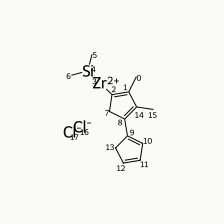 CC1=[C]([Zr+2]=[Si](C)C)CC(C2=CC=CC2)=C1C.[Cl-].[Cl-]